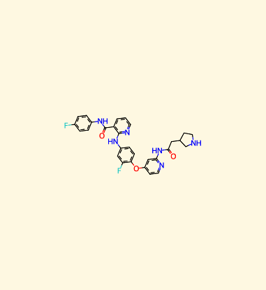 O=C(CC1CCNC1)Nc1cc(Oc2ccc(Nc3ncccc3C(=O)Nc3ccc(F)cc3)cc2F)ccn1